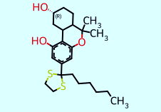 CCCCCCC1(c2cc(O)c3c(c2)OC(C)(C)C2CC[C@@H](O)CC32)SCCS1